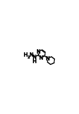 NNc1nccc(N2CCCCC2)n1